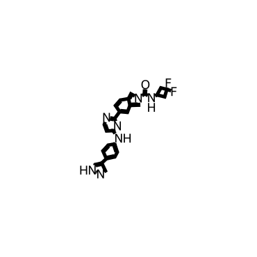 O=C(NC1CC(F)(F)C1)n1cc2ccc(-c3nccc(Nc4ccc(-c5cn[nH]c5)cc4)n3)cc2c1